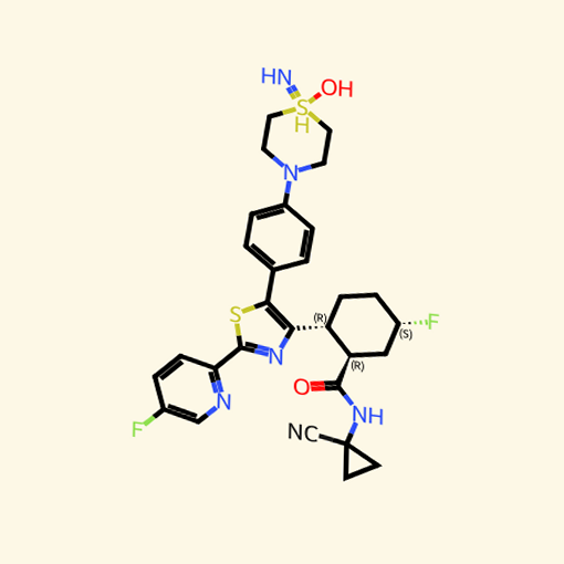 N#CC1(NC(=O)[C@@H]2C[C@@H](F)CC[C@H]2c2nc(-c3ccc(F)cn3)sc2-c2ccc(N3CC[SH](=N)(O)CC3)cc2)CC1